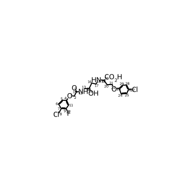 O=C(COc1ccc(Cl)c(F)c1)NC[C@@H](O)CCN[C@@H](CCOc1ccc(Cl)cc1)C(=O)O